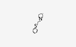 [CH]1CCN(CCCSc2ccccc2)CC1